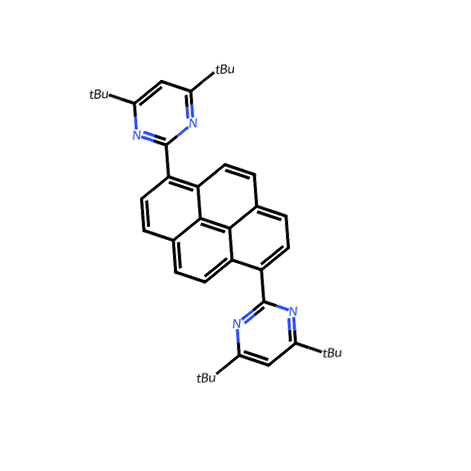 CC(C)(C)c1cc(C(C)(C)C)nc(-c2ccc3ccc4c(-c5nc(C(C)(C)C)cc(C(C)(C)C)n5)ccc5ccc2c3c54)n1